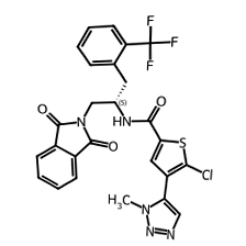 Cn1nncc1-c1cc(C(=O)N[C@@H](Cc2ccccc2C(F)(F)F)CN2C(=O)c3ccccc3C2=O)sc1Cl